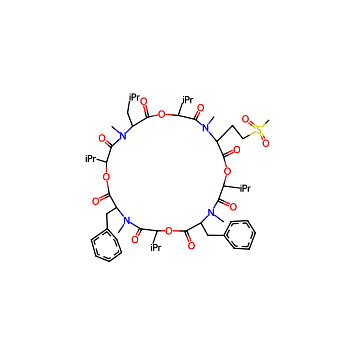 CC(C)CC1C(=O)OC(C(C)C)C(=O)N(C)C(CCS(C)(=O)=O)C(=O)OC(C(C)C)C(=O)N(C)C(Cc2ccccc2)C(=O)OC(C(C)C)C(=O)N(C)C(Cc2ccccc2)C(=O)OC(C(C)C)C(=O)N1C